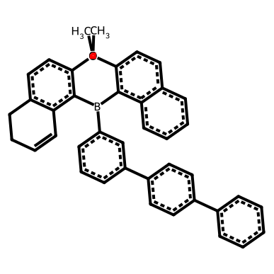 COc1ccc2c(c1B(c1cccc(-c3ccc(-c4ccccc4)cc3)c1)c1c(OC)ccc3ccccc13)C=CCC2